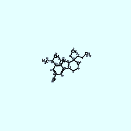 CCCC1(CC)OCCc2c1[nH]c1c(C(C)C)cc(Br)cc21